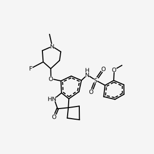 COc1ccccc1S(=O)(=O)Nc1cc(OC2CCN(C)CC2F)c2c(c1)C1(CCC1)C(=O)N2